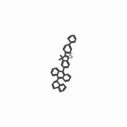 CC1(C)c2cc(-c3c4ccccc4c(-c4cccc5ccccc45)c4ccccc34)ccc2-c2sc3cc(-c4ccccc4)ccc3c21